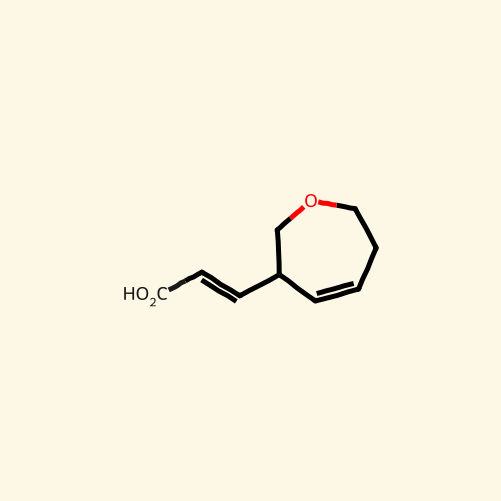 O=C(O)C=CC1C=CCCOC1